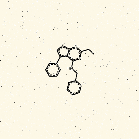 CCc1nc(NCc2ccccn2)c2c(-c3ccccc3)csc2n1